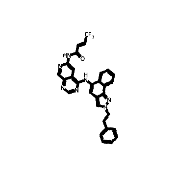 O=C(C=CC(F)(F)F)Nc1cc2c(Nc3cc4cn(CCc5ccccc5)nc4c4ccccc34)ncnc2cn1